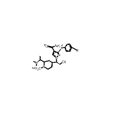 CC(C1CC(C(CC#N)n2cc(C(N)=O)c(Nc3ccc(F)cc3)n2)CCN1C(=O)O)N(C)C